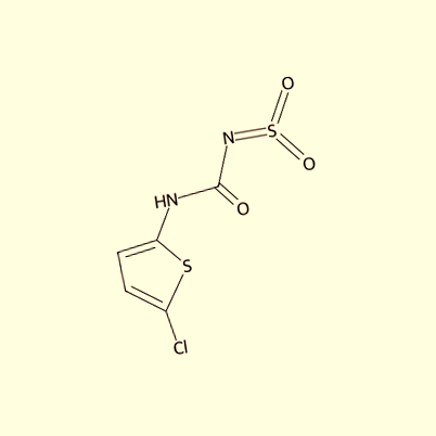 O=C(N=S(=O)=O)Nc1ccc(Cl)s1